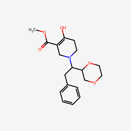 COC(=O)C1=C(O)CCN(C(Cc2ccccc2)C2COCCO2)C1